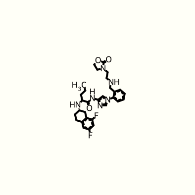 CCCC(N[C@H]1CCc2cc(F)cc(F)c2C1)C(=O)Nc1cn(-c2ccccc2CNCCN2CCOC2=O)cn1